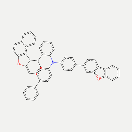 C1=CC(c2ccccc2N(c2ccc(-c3ccccc3)cc2)c2ccc(-c3ccc4c(c3)oc3ccccc34)cc2)C2C(=C1)Oc1ccc3ccccc3c12